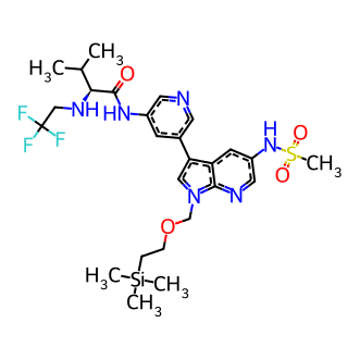 CC(C)[C@H](NCC(F)(F)F)C(=O)Nc1cncc(-c2cn(COCC[Si](C)(C)C)c3ncc(NS(C)(=O)=O)cc23)c1